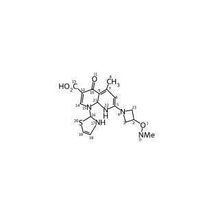 CNOC1CN(C2=CC(C)=C3C(=O)C(C(=O)O)=CN(C4NC=CS4)C3N2)C1